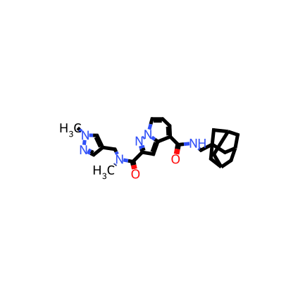 CN(Cc1cnn(C)c1)C(=O)c1cc2c(C(=O)NCC34CC5CC(CC(C5)C3)C4)cccn2n1